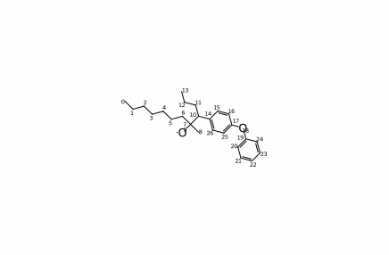 CCCCCCCC(C)([O])C(CCC)c1ccc(Oc2ccccc2)cc1